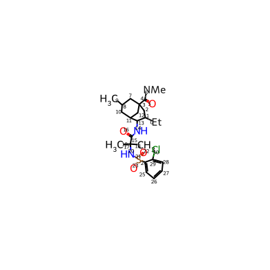 CCC1CC2(C(=O)NC)CC(C)CC(C2)C1NC(=O)C(C)(C)NS(=O)(=O)c1ccccc1Cl